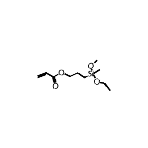 C=CC(=O)OCCC[Si](C)(OC)OCC